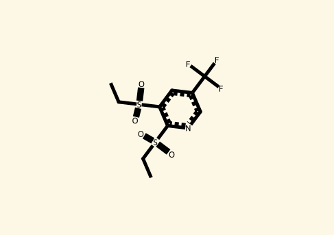 CCS(=O)(=O)c1cc(C(F)(F)F)cnc1S(=O)(=O)CC